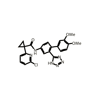 COc1ccc(-c2ccc(NC(=O)C3(c4cccc(Cl)n4)CC3)cc2-c2nnn[nH]2)cc1OC